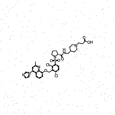 Cc1cc(-n2ccnc2)c2cccc(OCc3c(Cl)ccc(S(=O)(=O)N4CCC[C@H]4C(=O)NCC4CCN(CCC(=O)O)CC4)c3Cl)c2n1